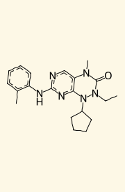 CCN1C(=O)N(C)c2cnc(Nc3ccccc3C)nc2N1C1CCCC1